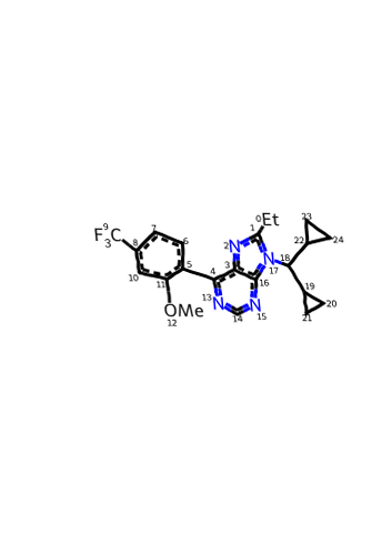 CCc1nc2c(-c3ccc(C(F)(F)F)cc3OC)ncnc2n1C(C1CC1)C1CC1